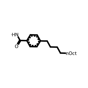 CCCCCCCCCCCCc1ccc(C([NH])=O)cc1